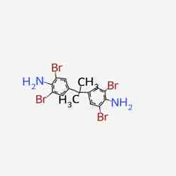 CC(C)(c1cc(Br)c(N)c(Br)c1)c1cc(Br)c(N)c(Br)c1